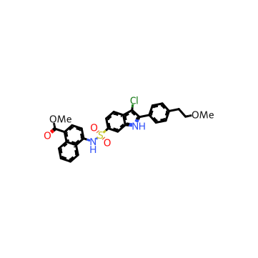 COCCc1ccc(-c2[nH]c3cc(S(=O)(=O)Nc4ccc(C(=O)OC)c5ccccc45)ccc3c2Cl)cc1